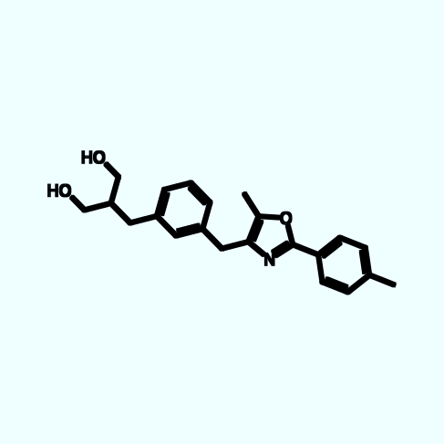 Cc1ccc(-c2nc(Cc3cccc(CC(CO)CO)c3)c(C)o2)cc1